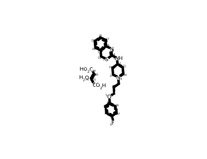 Fc1ccc(OCCCN2CCC(NC3=Nc4ccccc4CS3)CC2)cc1.O.O=C(O)C=CC(=O)O